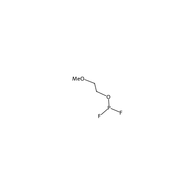 COCCOP(F)F